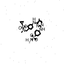 Cc1cnc(Nc2ccc(S(N)(=O)=O)cc2)nc1Nc1ccc(CN(C)S(=O)(=O)C2CC2)cc1